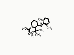 Cc1ccc[n+]([O-])c1N[C@@H]1CCCN(C(=O)O)C1C(C)(C)C